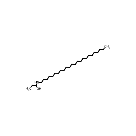 CCCCCCCCCCCCCCCCCCCCCCCCNC(O)CC